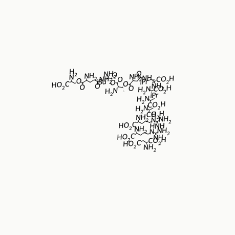 CC(C)C[C@H](N)C(=O)O.CC(C)[C@H](N)C(=O)O.CC[C@H](C)[C@H](N)C(=O)OC(=O)[C@@H](N)[C@@H](C)OC(=O)[C@@H](N)CC(N)=O.C[C@H](N)C(=O)O.C[C@H](N)C(=O)O.N=C(N)NCCC[C@H](N)C(=O)O.N=C(N)NCCC[C@H](N)C(=O)O.NC(=O)CC[C@H](N)C(=O)OC[C@H](N)C(=O)O.N[C@@H](CC(=O)O)C(=O)O